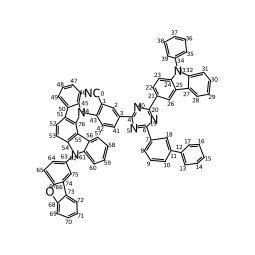 N#Cc1cc(-c2nc(-c3cccc(-c4ccccc4)c3)nc(-c3ccc4c(c3)c3ccccc3n4-c3ccccc3)n2)ccc1-n1c2ccccc2c2ccc3c(c4ccccc4n3-c3ccc4oc5ccccc5c4c3)c21